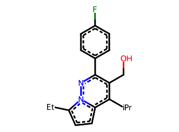 CCc1ccc2c(C(C)C)c(CO)c(-c3ccc(F)cc3)nn12